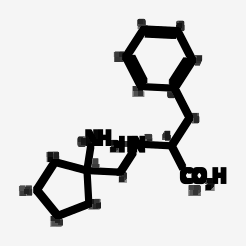 NC1(CNC(Cc2ccccc2)C(=O)O)CCCC1